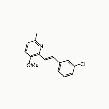 COc1ccc(C)nc1C=Cc1cccc(Cl)c1